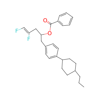 CCCC1CCC(c2ccc(CC(C/C(F)=C/F)OC(=O)c3ccccc3)cc2)CC1